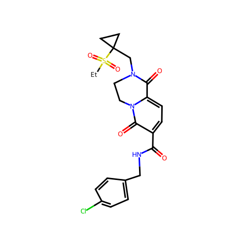 CCS(=O)(=O)C1(CN2CCn3c(ccc(C(=O)NCc4ccc(Cl)cc4)c3=O)C2=O)CC1